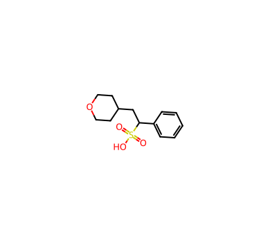 O=S(=O)(O)C(CC1CCOCC1)c1ccccc1